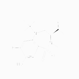 CC(C)[C@@H]1CN(C(C)(C)C)c2cc(F)c(O)cc2S(=O)(=O)N1C